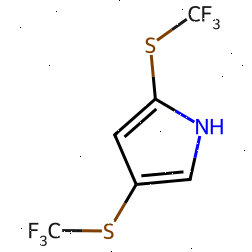 FC(F)(F)Sc1c[nH]c(SC(F)(F)F)c1